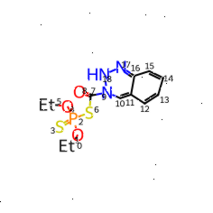 CCOP(=S)(OCC)SC(=O)N1C=c2ccccc2=NN1